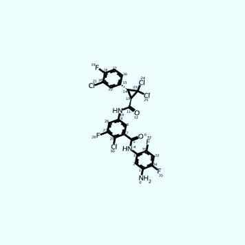 Nc1cc(NC(=O)c2cc(NC(=O)[C@H]3[C@H](c4ccc(F)c(Cl)c4)C3(Cl)Cl)cc(F)c2Cl)c(F)cc1F